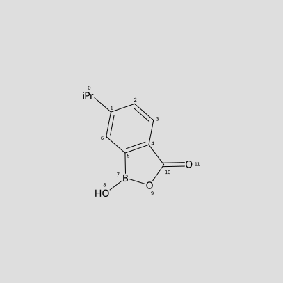 CC(C)c1ccc2c(c1)B(O)OC2=O